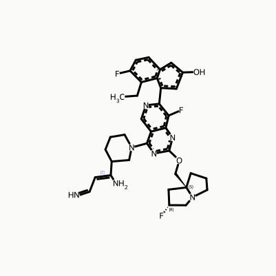 CCc1c(F)ccc2cc(O)cc(-c3ncc4c(N5CCCC(/C(N)=C/C=N)C5)nc(OC[C@@]56CCCN5C[C@H](F)C6)nc4c3F)c12